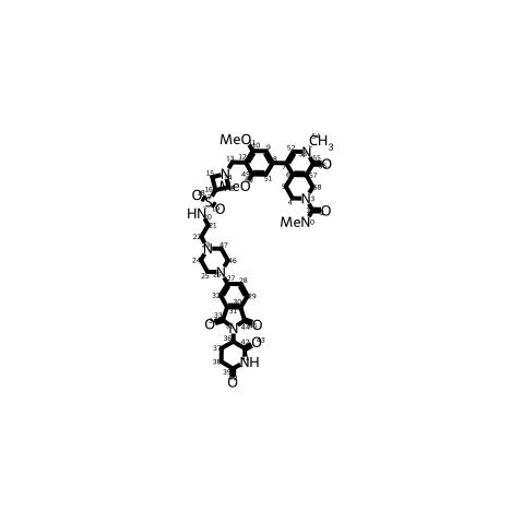 CNC(=O)N1CCc2c(-c3cc(OC)c(CN4CC(S(=O)(=O)NCCN5CCN(c6ccc7c(c6)C(=O)N(C6CCC(=O)NC6=O)C7=O)CC5)C4)c(OC)c3)cn(C)c(=O)c2C1